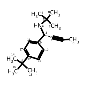 CC#C[C@@H](NC(C)(C)C)c1ccc(C(C)(C)C)cc1